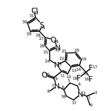 CC(C)N1CCC(N(C)C(=O)c2cc3c(C(F)(F)F)cccc3n2Cc2cc(-c3ccc(Cl)s3)on2)CC1